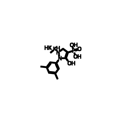 Cc1cc(C)cc(N2NCC(P(=O)(O)O)=C2O)c1.[CH3][K].[KH]